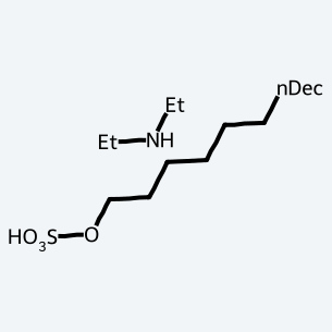 CCCCCCCCCCCCCCCCOS(=O)(=O)O.CCNCC